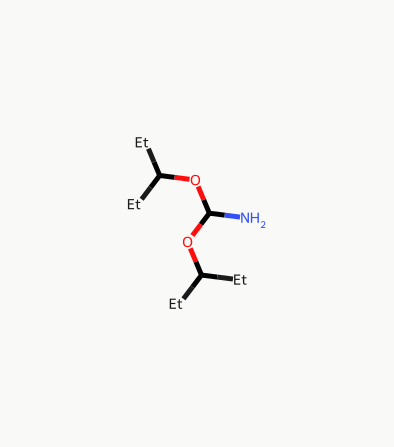 CCC(CC)OC(N)OC(CC)CC